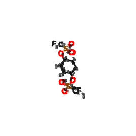 O=S(=O)(Oc1ccc(OS(=O)(=O)C(F)(F)F)cc1)C(F)(F)F